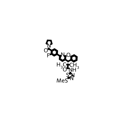 CSc1nnc(NC(=O)C(C)(C)[C@H]2c3ccccc3Oc3nc(-c4ccc(C(=O)N5CCCC5)c(F)c4)ccc32)s1